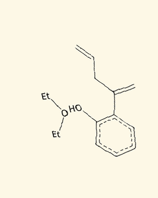 C=CCC(=C)c1ccccc1O.CCOCC